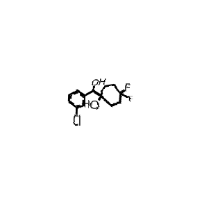 OC(c1cccc(Cl)c1)C1(O)CCC(F)(F)CC1